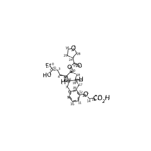 CC[C@H](O)CC[C@@H]1[C@H]2Cc3cccc(OCC(=O)O)c3C[C@H]2C[C@H]1OC(=O)C1CCOC1